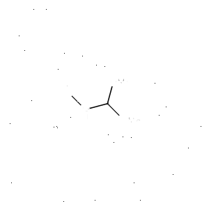 COC(OC)[SiH]C(C)C